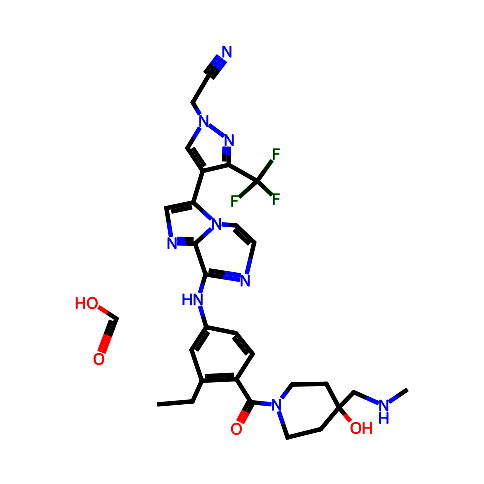 CCc1cc(Nc2nccn3c(-c4cn(CC#N)nc4C(F)(F)F)cnc23)ccc1C(=O)N1CCC(O)(CNC)CC1.O=CO